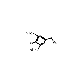 CCCCCCc1cc(CC(C)=O)cc(CCCCCC)c1F